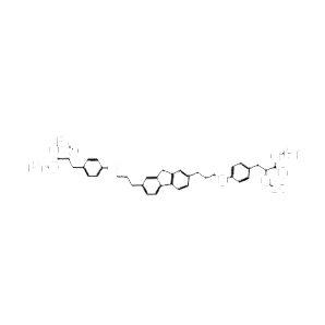 CCOC(Cc1ccc(OCCCc2ccc3c(c2)Cc2cc(CCCOc4ccc(CC(OCC)C(=O)OC(C)C)cc4)ccc2-3)cc1)C(=O)OC(C)C